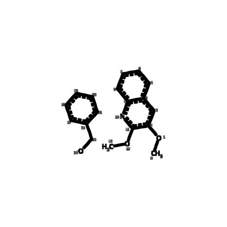 COc1cc2ccccc2nc1OC.[O]Cc1ccccc1